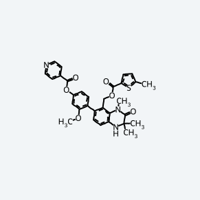 COc1cc(OC(=O)c2ccncc2)ccc1-c1ccc2c(c1COC(=O)c1ccc(C)s1)N(C)C(=O)C(C)(C)N2